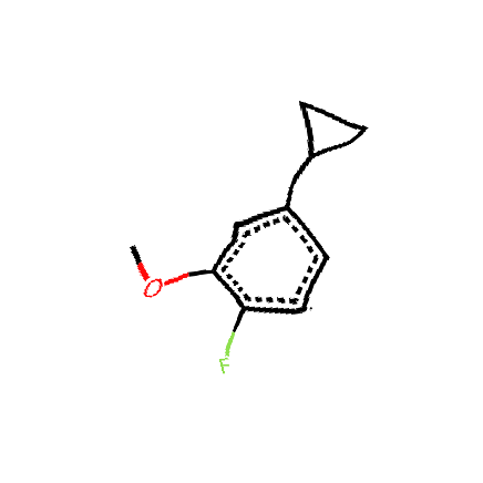 COc1cc(C2CC2)c[c]c1F